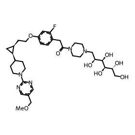 COCc1cnc(N2CCC([C@H]3C[C@H]3CCOc3ccc(CC(=O)N4CCN(C[C@H](O)[C@@H](O)[C@H](O)[C@H](O)CO)CC4)c(F)c3)CC2)nc1